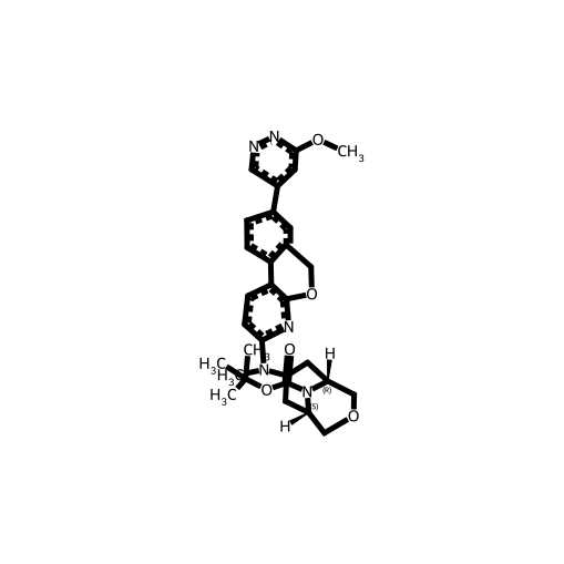 COc1cc(-c2ccc3c(c2)COc2nc(N(C)C4C[C@H]5COC[C@@H](C4)N5C(=O)OC(C)(C)C)ccc2-3)cnn1